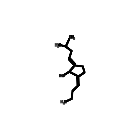 CCCC=C1CCC(=CCC(C)C)C1O